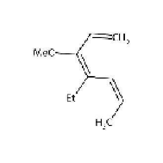 C=C/C(OC)=C(\C=C/C)CC